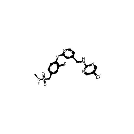 CNS(=O)(=O)Cc1ccc(Oc2cc(CNc3ncc(Cl)cn3)ccn2)c(F)c1